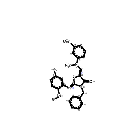 CCNc1ccc(C(C)=O)cc1/N=C1\S/C(=C\N(C)c2cccc(OC)c2)C(=O)N1Cc1ccccc1